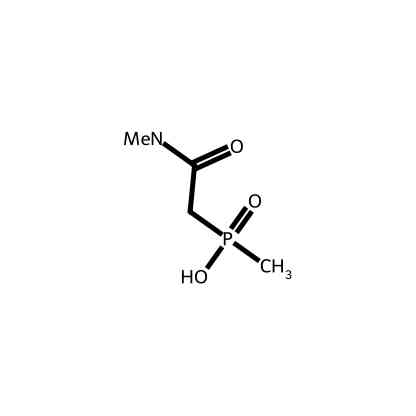 CNC(=O)CP(C)(=O)O